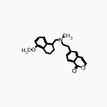 COc1cccc2c1CCCC2CN(C)CCc1ccc2c(=O)occc2c1